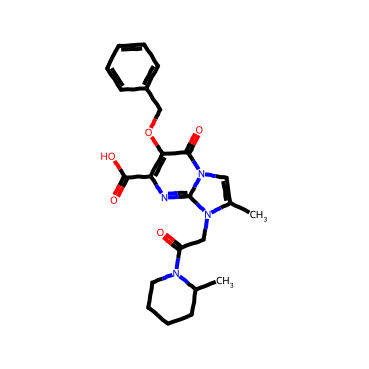 Cc1cn2c(=O)c(OCc3ccccc3)c(C(=O)O)nc2n1CC(=O)N1CCCCC1C